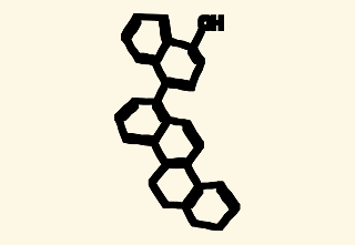 Oc1ccc(-c2cccc3c4c(ccc23)C2=C(CCC=C2)CC4)c2ccccc12